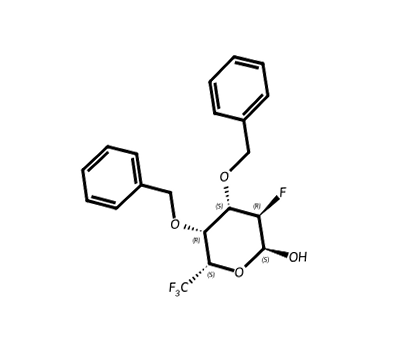 O[C@H]1O[C@H](C(F)(F)F)[C@H](OCc2ccccc2)[C@H](OCc2ccccc2)[C@H]1F